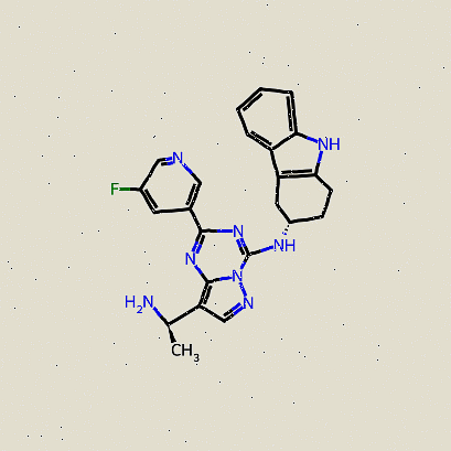 C[C@@H](N)c1cnn2c(N[C@H]3CCc4[nH]c5ccccc5c4C3)nc(-c3cncc(F)c3)nc12